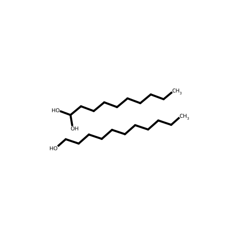 CCCCCCCCCC(O)O.CCCCCCCCCCCO